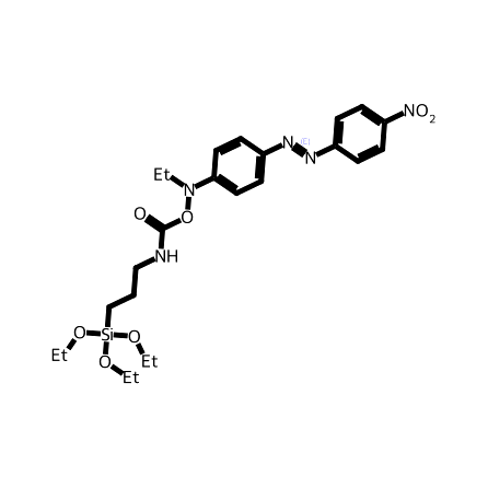 CCO[Si](CCCNC(=O)ON(CC)c1ccc(/N=N/c2ccc([N+](=O)[O-])cc2)cc1)(OCC)OCC